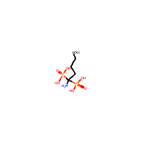 CCCCCCCCCCCC(N)(P(=O)(O)O)P(=O)(O)O